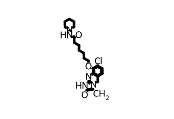 C=c1c(=O)[nH]c2n1Cc1ccc(Cl)c(OCCCCCCC(=O)NN3CCCCC3)c1N=2